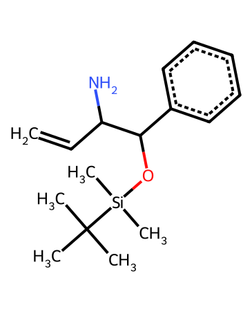 C=CC(N)C(O[Si](C)(C)C(C)(C)C)c1ccccc1